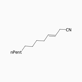 CCCCCCCCC/C=C/CC#N